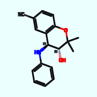 CC1(C)Oc2ccc(C#N)cc2[C@H](Nc2ccccc2)[C@H]1O